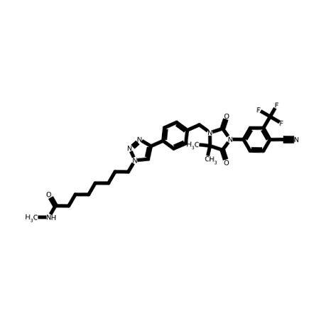 CNC(=O)CCCCCCCn1cc(-c2ccc(CN3C(=O)N(c4ccc(C#N)c(C(F)(F)F)c4)C(=O)C3(C)C)cc2)nn1